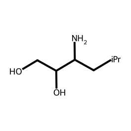 CC(C)CC(N)C(O)CO